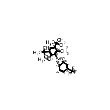 COc1c(C(C)(C)C)cc(C(C)(C)C)c(C)c1-n1nc2ccc(C(F)(F)F)cc2n1